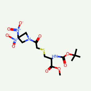 COC(=O)C(CSCC(=O)N1CC([N+](=O)[O-])([N+](=O)[O-])C1)NC(=O)OC(C)(C)C